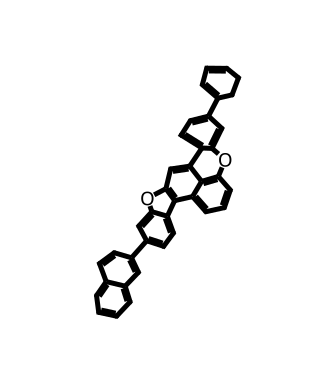 C1=CCCC(c2ccc3c(c2)Oc2cccc4c2c-3cc2oc3cc(-c5ccc6ccccc6c5)ccc3c24)=C1